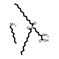 CCCCCCCCCCCC(=O)N(CCCC[C@H](N)C(=O)O)C(=O)CCCCCCCCCCC.CCCCCCCCN